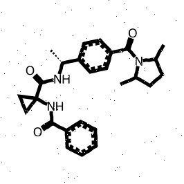 CC1CCC(C)N1C(=O)c1ccc([C@@H](C)NC(=O)C2(NC(=O)c3ccccc3)CC2)cc1